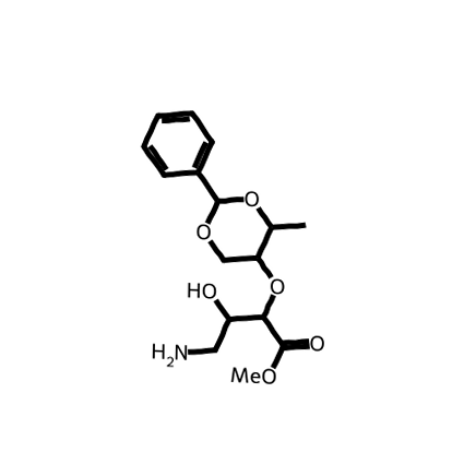 COC(=O)C(OC1COC(c2ccccc2)OC1C)C(O)CN